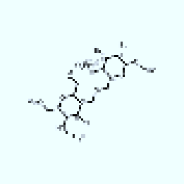 CC[C@@H]1C(OC=O)O[C@@H](COC[C@@H]2C(COS(=O)(=O)O)O[C@H](COC)C(NS(=O)(=O)O)[C@@H]2O)C(OS(=O)(=O)O)[C@@H]1O